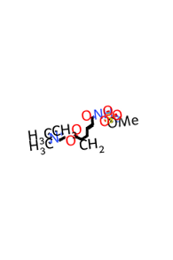 C=C(CC=CC(N)=O)C(=O)OCC[N+](C)(C)C.COS(=O)(=O)[O-]